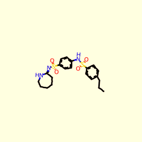 CCCc1ccc(S(=O)(=O)Nc2ccc(S(=O)(=O)N=C3CCCCCN3)cc2)cc1